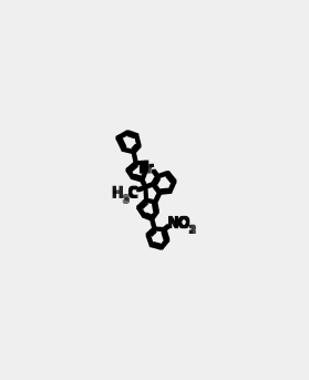 CC1(c2ccc(-c3ccccc3)cc2)c2ccc(-c3ccccc3[N+](=O)[O-])cc2-c2cccc(Br)c21